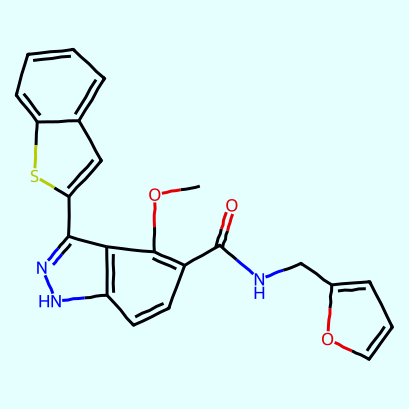 COc1c(C(=O)NCc2ccco2)ccc2[nH]nc(-c3cc4ccccc4s3)c12